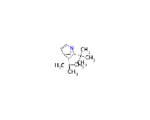 CC(C)(C)C1c2ccn(c2)C1C(C)(C)C